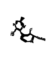 CNc1nccc(-c2nc(C)cnc2S)c1Cl